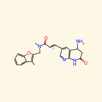 Cc1c(CN(C)C(=O)/C=C/c2cnc3c(c2)C(N)CC(=O)N3)oc2ccccc12